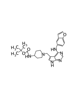 CC(C)(C)OC(=O)NC1CCN(Cc2c[nH]c3ncnc(Nc4ccc5occc5c4)c23)CC1